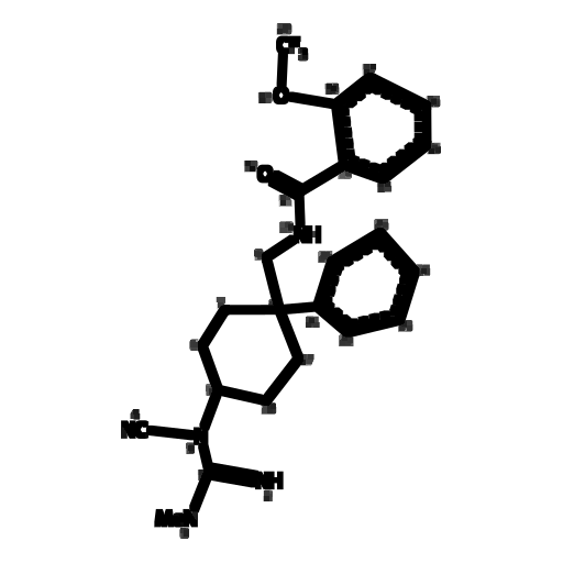 CNC(=N)N(C#N)C1CCC(CNC(=O)c2ccccc2OC(F)(F)F)(c2ccccc2)CC1